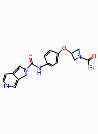 CCC(C)C(=O)N1CC(Oc2ccc(NC(=O)N3C=C4C=CNC=C4C3)cc2)C1